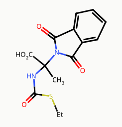 CCSC(=O)NC(C)(C(=O)O)N1C(=O)c2ccccc2C1=O